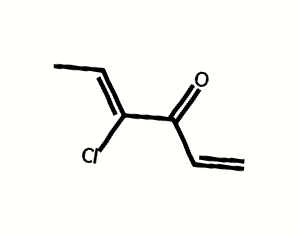 C=CC(=O)C(Cl)=CC